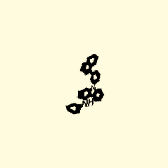 C1=CCCC(NC2=C3c4ccccc4N(C4=CC=CC(c5cccc6c5C=CCC6)C4)C3CC=C2)=C1